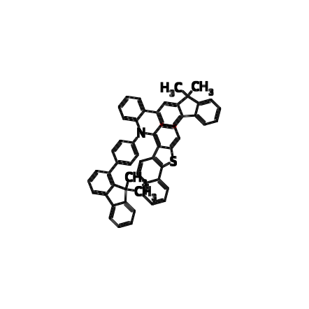 CC1(C)c2ccccc2-c2ccc(-c3ccccc3N(c3ccc(-c4cccc5c4C(C)(C)c4ccccc4-5)cc3)c3cccc4sc5c6ccccc6ccc5c34)cc21